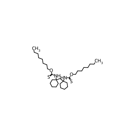 CCCCCCCCOC(=S)NC1(CC2(NC(=S)OCCCCCCCC)CCCCC2)CCCCC1